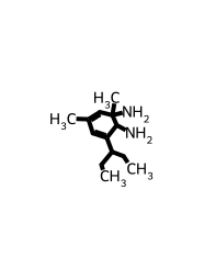 CCC(CC)C1=CC(C)=CC(C)(N)C1N